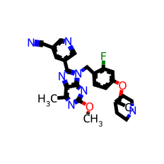 COc1nc(C)c2nc(-c3cncc(C#N)c3)n(Cc3ccc(OC4CN5CCC4CC5)cc3F)c2n1